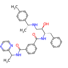 Cc1ccc([C@@H](C)NC[C@@H](O)[C@H](Cc2ccccc2)NC(=O)c2cccc(C(=O)NC(C)c3cnccn3)c2)cc1